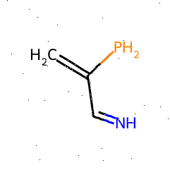 C=C(P)C=N